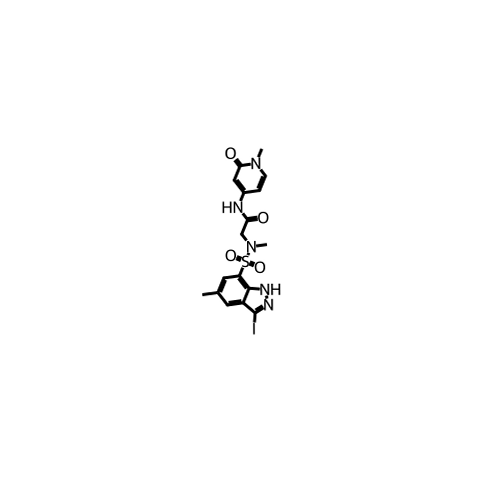 Cc1cc(S(=O)(=O)N(C)CC(=O)Nc2ccn(C)c(=O)c2)c2[nH]nc(I)c2c1